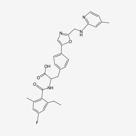 CCc1cc(F)cc(C)c1C(=O)NC(Cc1ccc(-c2cnc(CNc3cc(C)ccn3)o2)cc1)C(=O)O